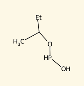 CCC(C)OPO